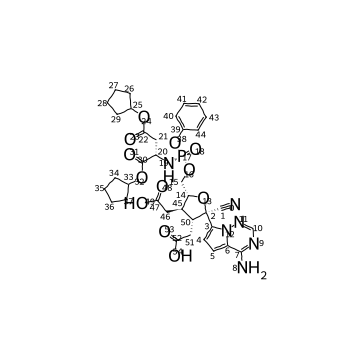 N#C[C@@]1(c2ccc3c(N)ncnn23)O[C@@H](CO[P@@](=O)(N[C@@H](CC(=O)OC2CCCC2)C(=O)OC2CCCC2)Oc2ccccc2)[C@H](CC(=O)O)[C@H]1CC(=O)O